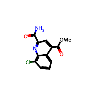 COC(=O)c1cc(C(N)=O)nc2c(Cl)cccc12